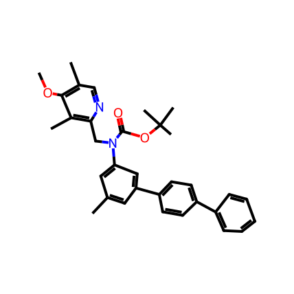 COc1c(C)cnc(CN(C(=O)OC(C)(C)C)c2cc(C)cc(-c3ccc(-c4ccccc4)cc3)c2)c1C